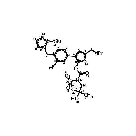 CC(C)Cc1cc(-c2ccc(Cn3ccnc3C(C)(C)C)c(F)c2)c(OC(=O)N(CC(C)(C)O)[SH](=O)=O)s1